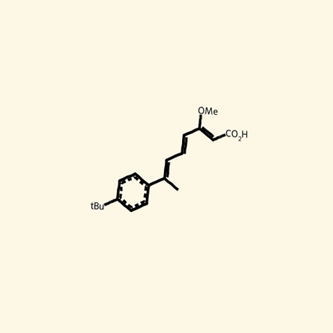 COC(C=CC=C(C)c1ccc(C(C)(C)C)cc1)=CC(=O)O